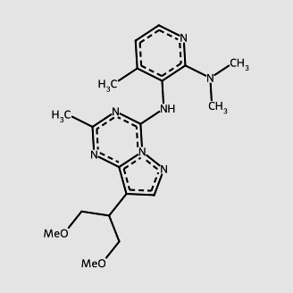 COCC(COC)c1cnn2c(Nc3c(C)ccnc3N(C)C)nc(C)nc12